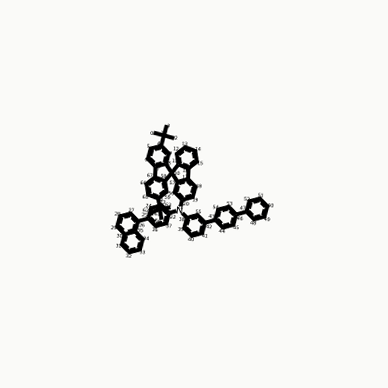 CC(C)(C)c1ccc2c(c1)C1(c3ccccc3-c3ccc(N(c4ccc(-c5cccc6ccccc56)cc4)c4cccc(-c5ccc(-c6ccccc6)cc5)c4)cc31)c1cc(C(C)(C)C)ccc1-2